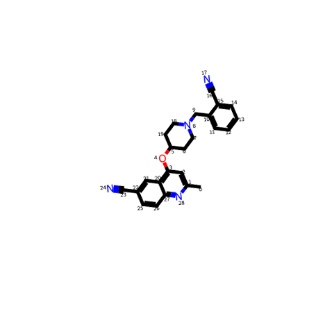 Cc1cc(OC2CCN(Cc3ccccc3C#N)CC2)c2cc(C#N)ccc2n1